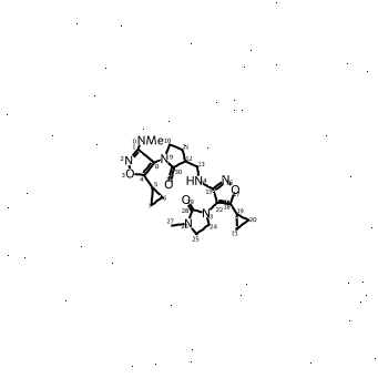 CNc1noc(C2CC2)c1N1CCC(CNc2noc(C3CC3)c2N2CCN(C)C2=O)C1=O